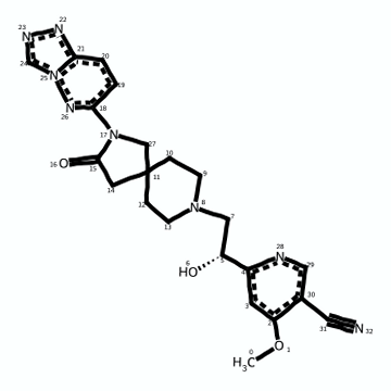 COc1cc([C@H](O)CN2CCC3(CC2)CC(=O)N(c2ccc4nncn4n2)C3)ncc1C#N